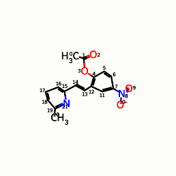 CC(=O)Oc1ccc([N+](=O)[O-])cc1C=Cc1cccc(C)n1